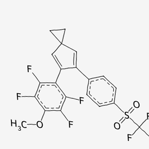 COc1c(F)c(F)c(C2=CC3(C=C2c2ccc(S(=O)(=O)C(F)(F)F)cc2)CC3)c(F)c1F